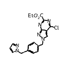 CCOC(=O)c1nc(Cl)c2cn(Cc3ccc(Cn4cccn4)cc3)nc2n1